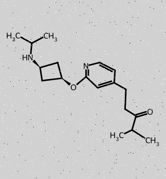 CC(C)N[C@H]1C[C@@H](Oc2cc(CCC(=O)C(C)C)ccn2)C1